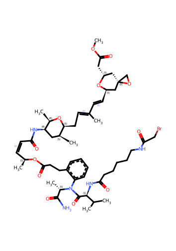 COC(=O)C[C@@H]1C[C@@]2(CO2)C[C@@H](/C=C/C(C)=C/C[C@@H]2O[C@H](C)[C@H](NC(=O)/C=C\[C@H](C)OC(=O)CCc3ccccc3N(C(=O)[C@@H](NC(=O)CCCCCNC(=O)CBr)C(C)C)[C@@H](C)C(N)=O)C[C@@H]2C)O1